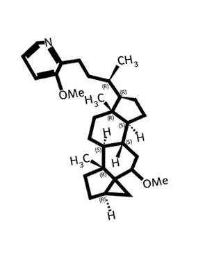 COc1cccnc1CC[C@@H](C)[C@H]1CC[C@H]2[C@@H]3CC(OC)C45C[C@H]4CC[C@]5(C)[C@H]3CC[C@]12C